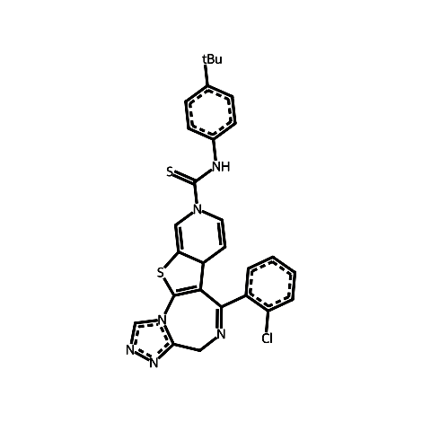 CC(C)(C)c1ccc(NC(=S)N2C=CC3C(=C2)SC2=C3C(c3ccccc3Cl)=NCc3nncn32)cc1